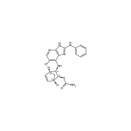 NC(=O)O[C@@H]1[C@H](Nc2c(Cl)cnc3[nH]c(Nc4ccccc4)nc23)[C@H]2C=C[C@@H]1C2